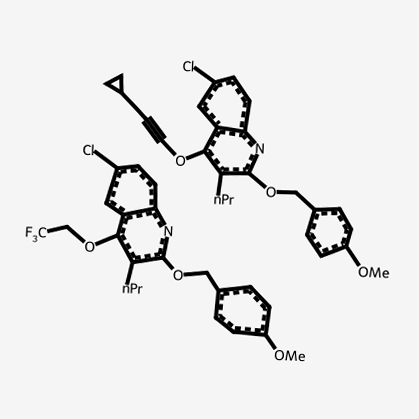 CCCc1c(OCc2ccc(OC)cc2)nc2ccc(Cl)cc2c1OC#CC1CC1.CCCc1c(OCc2ccc(OC)cc2)nc2ccc(Cl)cc2c1OCC(F)(F)F